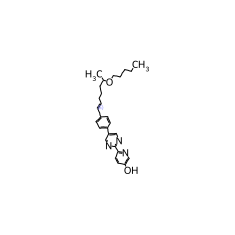 CCCCCOC(C)CCC/C=C/c1ccc(-c2cnc(-c3ccc(O)cn3)nc2)cc1